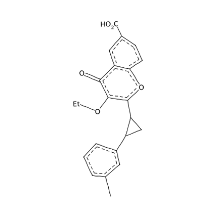 CCOc1c(C2CC2c2cccc(C)c2)oc2ccc(C(=O)O)cc2c1=O